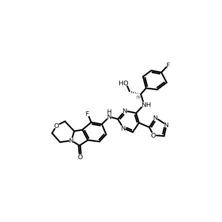 O=C1c2ccc(Nc3ncc(-c4nnco4)c(N[C@H](CO)c4ccc(F)cc4)n3)c(F)c2C2COCCN12